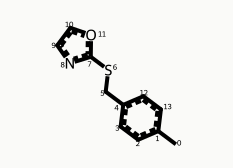 Cc1ccc(CSc2ncco2)cc1